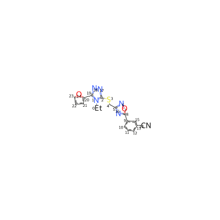 CCn1c(SCc2noc(-c3cccc(C#N)c3)n2)nnc1-c1ccco1